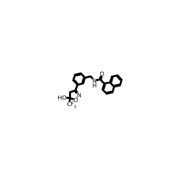 O=C(NCc1cccc(C2=NOC(O)(C(F)(F)F)C2)c1)c1cccc2ccccc12